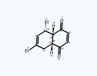 CCC1=C[C@H](CC)[C@@H]2C(=O)C=CC(=O)[C@@H]2C1